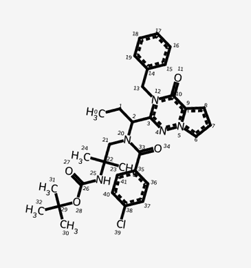 CCC(c1nn2cccc2c(=O)n1Cc1ccccc1)N(CC(C)(C)NC(=O)OC(C)(C)C)C(=O)c1ccc(Cl)cc1